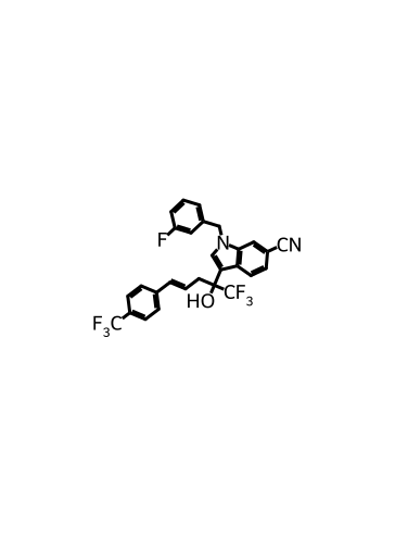 N#Cc1ccc2c(C(O)(C/C=C/c3ccc(C(F)(F)F)cc3)C(F)(F)F)cn(Cc3cccc(F)c3)c2c1